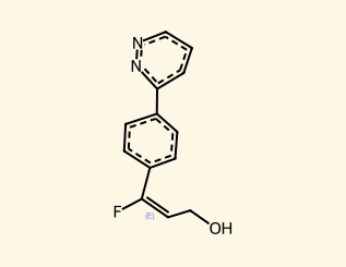 OC/C=C(/F)c1ccc(-c2cccnn2)cc1